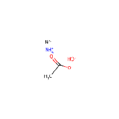 CC(=O)[O-].[NH4+].[Ni+].[OH-]